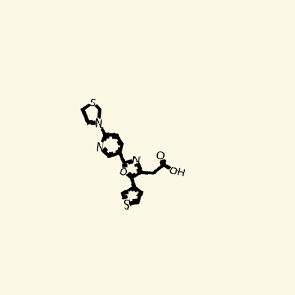 O=C(O)Cc1nc(-c2ccc(N3CCSC3)nc2)oc1-c1ccsc1